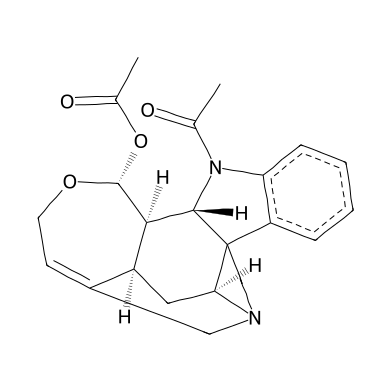 CC(=O)O[C@H]1OCC=C2CN3CCC45c6ccccc6N(C(C)=O)[C@H]4[C@H]1[C@H]2C[C@H]35